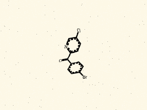 O=C(c1ccc(Br)cc1)c1ccc(Cl)cn1